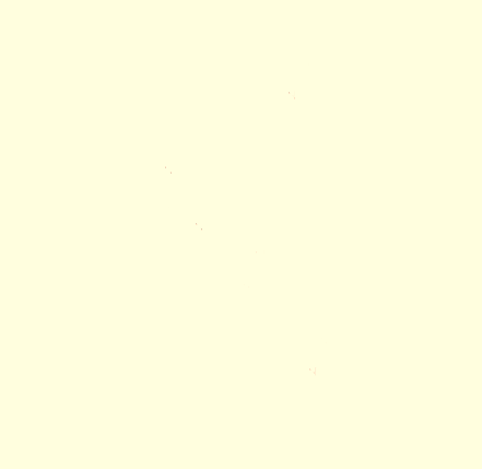 CN(C)c1ccc(Nc2nc(-c3cc4cccc([N+](=O)[O-])c4oc3=O)cs2)cc1